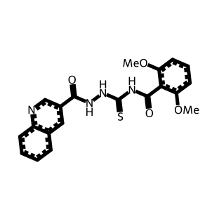 COc1cccc(OC)c1C(=O)NC(=S)NNC(=O)c1cnc2ccccc2c1